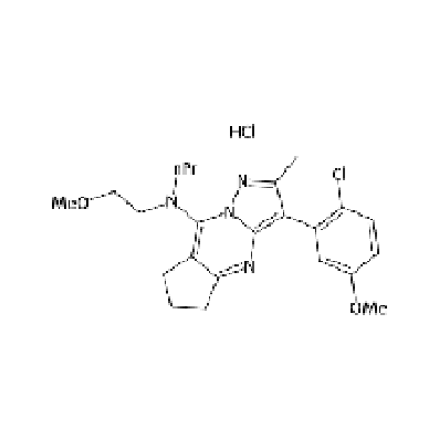 CCCN(CCOC)c1c2c(nc3c(-c4cc(OC)ccc4Cl)c(C)nn13)CCC2.Cl